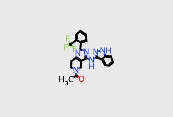 CC(=O)N1CCc2nc(-c3ccccc3C(F)(F)F)nc(Nc3n[nH]c4ccccc34)c2C1